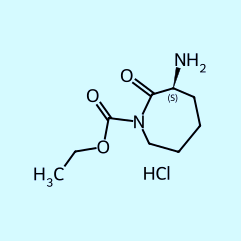 CCOC(=O)N1CCCC[C@H](N)C1=O.Cl